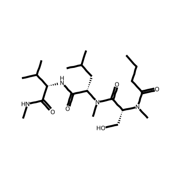 CCCC(=O)N(C)[C@H](CO)C(=O)N(C)[C@@H](CC(C)C)C(=O)N[C@H](C(=O)NC)C(C)C